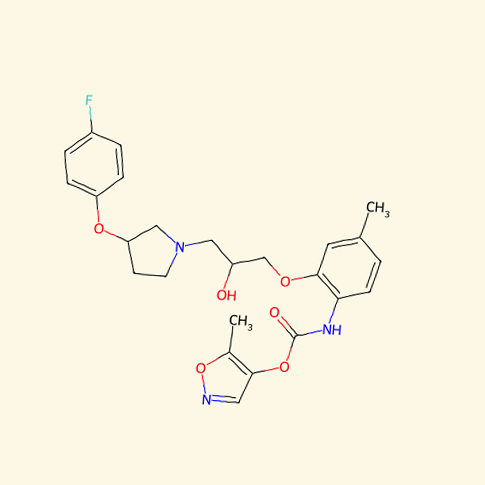 Cc1ccc(NC(=O)Oc2cnoc2C)c(OCC(O)CN2CCC(Oc3ccc(F)cc3)C2)c1